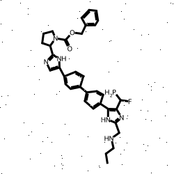 CCCNCc1nc(C(F)P)c(-c2ccc(-c3ccc(-c4cnc(C5CCCN5C(=O)OCc5ccccc5)[nH]4)cc3)cc2)[nH]1